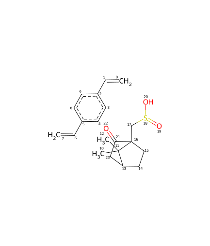 C=Cc1ccc(C=C)cc1.CC1(C)C2CCC1(CS(=O)O)C(=O)C2